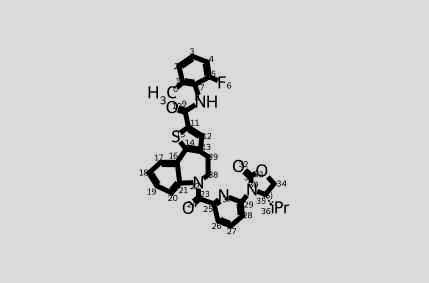 Cc1cccc(F)c1NC(=O)c1cc2c(s1)-c1ccccc1N(C(=O)c1cccc(N3C(=O)OC[C@@H]3C(C)C)n1)CC2